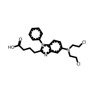 O=C(O)CCCc1nc2cc(N(CCCl)CCCl)ccc2n1-c1ccccc1